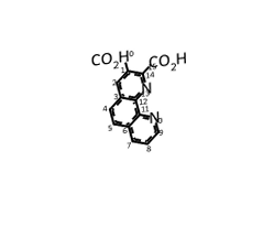 O=C(O)c1cc2ccc3cccnc3c2nc1C(=O)O